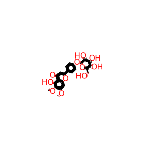 COc1cc2oc(-c3ccc(OC4O[C@H](CO)[C@@H](O)[C@H](O)[C@H]4O)cc3)cc(=O)c2c(O)c1OC